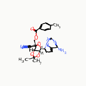 Cc1ccc(C(=O)OC[C@@]2(C#N)O[C@@H](c3ccc4c(N)ncnn34)[C@@H]3OC(C)(C)O[C@@H]32)cc1